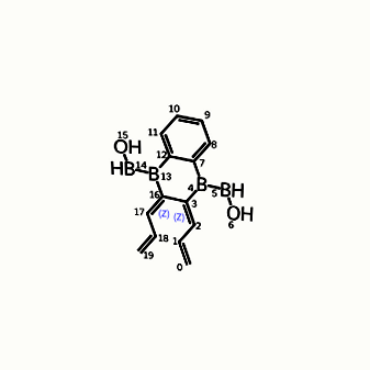 C=C/C=C1/B(BO)c2ccccc2B(BO)/C1=C/C=C